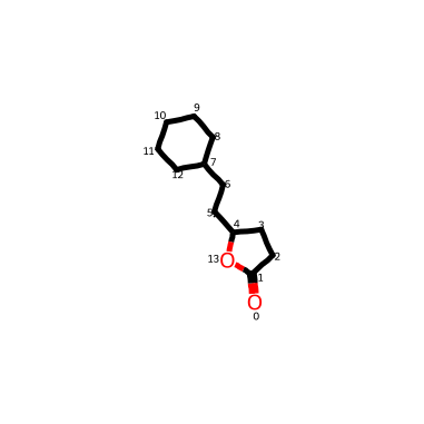 O=C1CCC([CH]CC2CCCCC2)O1